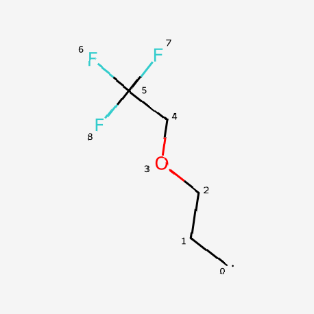 [CH2]CCOCC(F)(F)F